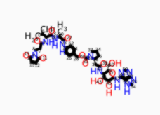 CC(C)[C@H](NC(=O)CCN1C(=O)C=CC1=O)C(=O)N[C@@H](C)C(=O)Nc1ccc(COC(=O)N2CCC[C@H]2CC(=O)N[C@@H]2[C@@H](O)[C@H](O)[C@@H](Nc3ncnc4nc[nH]c34)O[C@H]2CO)cc1